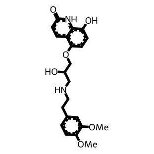 COc1ccc(CCNCC(O)COc2ccc(O)c3[nH]c(=O)ccc23)cc1OC